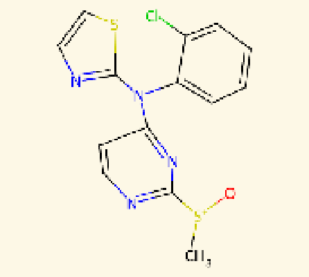 C[S+]([O-])c1nccc(N(c2nccs2)c2ccccc2Cl)n1